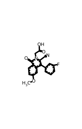 COc1ccc2c(=O)n(CC(=O)O)c(C#N)c(-c3cccc(F)c3)c2c1